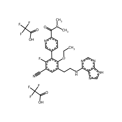 CCOc1c(CCNc2ncnc3[nH]cnc23)cc(C#N)c(F)c1-c1ccc(C(=O)N(C)C)nc1.O=C(O)C(F)(F)F.O=C(O)C(F)(F)F